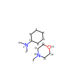 CN(C)C1CCCCC1.CN1CCOCC1